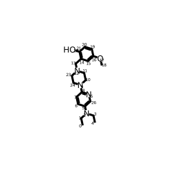 CCN(CC)c1ccc(N2CCN(Cc3cc(OC)ccc3O)CC2)nc1